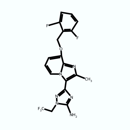 Cc1nc2c(OCc3c(F)cccc3F)cccn2c1-c1nc(N)n(CC(F)(F)F)n1